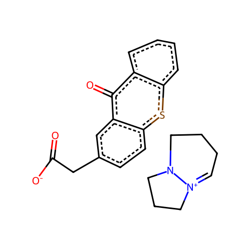 C1=[N+]2CCCN2CCC1.O=C([O-])Cc1ccc2sc3ccccc3c(=O)c2c1